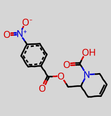 O=C(OCC1CC=CCN1C(=O)O)c1ccc([N+](=O)[O-])cc1